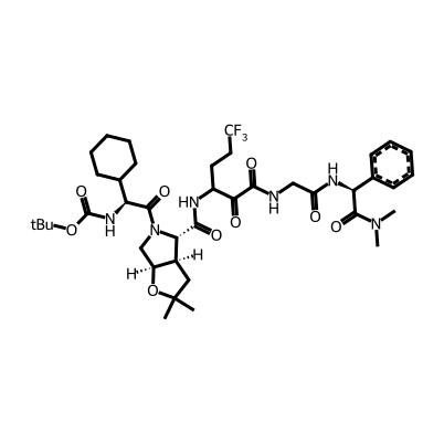 CN(C)C(=O)[C@@H](NC(=O)CNC(=O)C(=O)C(CCC(F)(F)F)NC(=O)[C@@H]1[C@H]2CC(C)(C)O[C@H]2CN1C(=O)[C@@H](NC(=O)OC(C)(C)C)C1CCCCC1)c1ccccc1